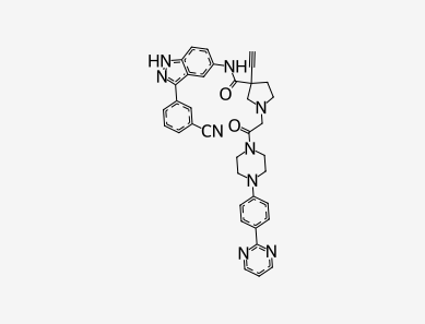 C#CC1(C(=O)Nc2ccc3[nH]nc(-c4cccc(C#N)c4)c3c2)CCN(CC(=O)N2CCN(c3ccc(-c4ncccn4)cc3)CC2)C1